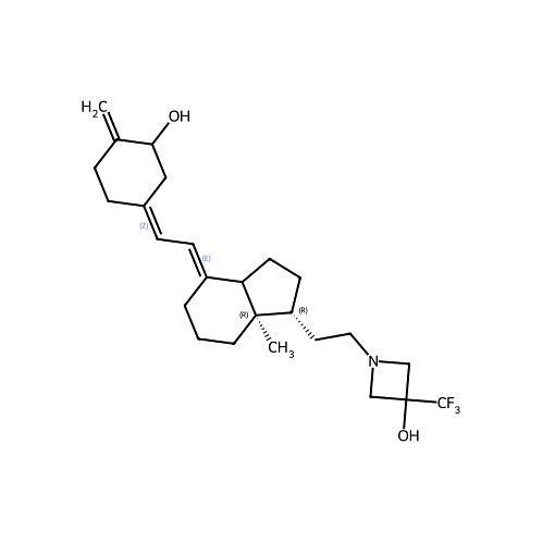 C=C1CC/C(=C/C=C2\CCC[C@@]3(C)C2CC[C@@H]3CCN2CC(O)(C(F)(F)F)C2)CC1O